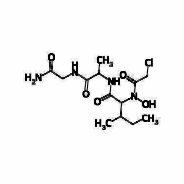 CCC(C)C(C(=O)NC(C)C(=O)NCC(N)=O)N(O)C(=O)CCl